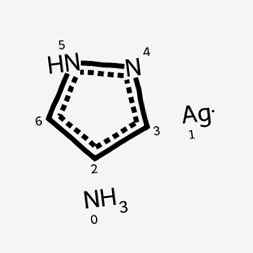 N.[Ag].c1cn[nH]c1